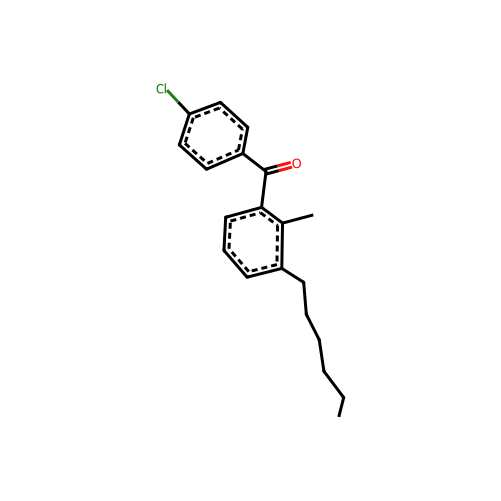 CCCCCCc1cccc(C(=O)c2ccc(Cl)cc2)c1C